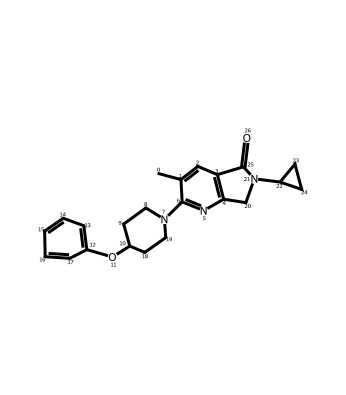 Cc1cc2c(nc1N1CCC(Oc3ccccc3)CC1)CN(C1CC1)C2=O